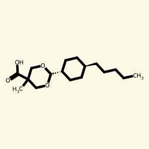 CCCCC[C@H]1CC[C@H](C2OCC(C)(C(=O)O)CO2)CC1